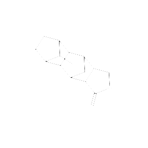 CC1C2CCC1C1C3CC(C4COC(=O)C43)C21